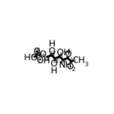 CC(=O)C(=O)[C@H](N)[C@@H](O)[C@@H](O)[C@H](O)COP(=O)(O)O